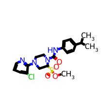 COS(=O)(=O)C1CN(c2ncccc2Cl)CCN1C(=O)Nc1ccc(C(C)C)cc1